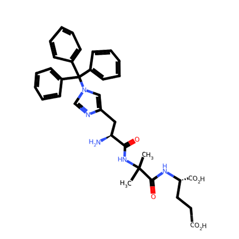 CC(C)(NC(=O)[C@@H](N)Cc1cn(C(c2ccccc2)(c2ccccc2)c2ccccc2)cn1)C(=O)N[C@@H](CCC(=O)O)C(=O)O